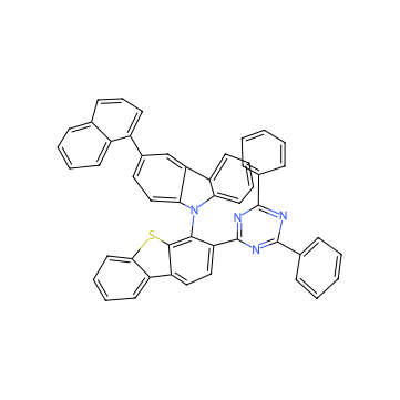 c1ccc(-c2nc(-c3ccccc3)nc(-c3ccc4c(sc5ccccc54)c3-n3c4ccccc4c4cc(-c5cccc6ccccc56)ccc43)n2)cc1